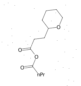 CCCC(=O)OC(=O)CCC1CCCCO1